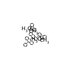 C[Si]1(C)c2ccccc2-c2cccc(-c3cccc4c(-c5c6ccccc6c(-c6ccccc6)c6ccccc56)c5cccc(-c6cccc7c6[Si](C)(C)c6ccccc6-7)c5cc34)c21